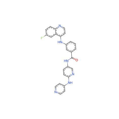 O=C(Nc1ccc(Nc2ccncc2)nc1)c1cccc(Nc2ccnc3ccc(F)cc23)c1